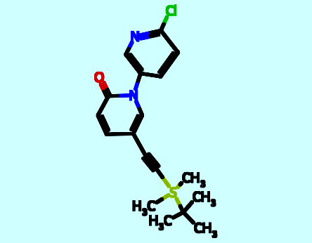 CC(C)(C)S(C)(C)C#Cc1ccc(=O)n(-c2ccc(Cl)nc2)c1